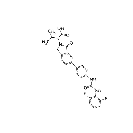 CC(C)[C@@H](C(=O)O)N1Cc2ccc(-c3ccc(NC(=O)Nc4c(F)cccc4F)cc3)cc2C1=O